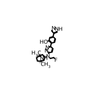 C[C@]12CC[C@](C)(C[C@@H](N(CCF)c3ccc(-c4ccc(-c5cn[nH]c5)cc4O)nn3)C1)N2